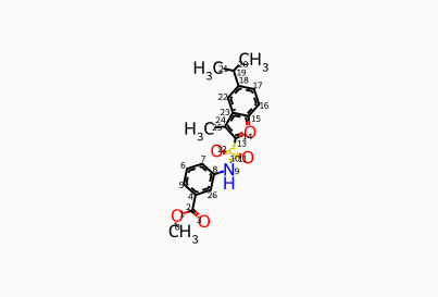 COC(=O)c1cccc(NS(=O)(=O)c2oc3ccc(C(C)C)cc3c2C)c1